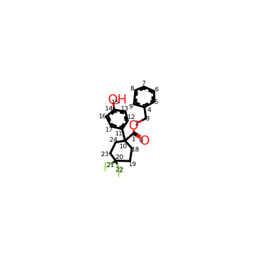 O=C(OCc1ccccc1)C1(c2ccc(O)cc2)CCC(F)(F)CC1